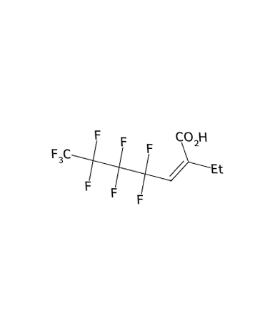 CCC(=CC(F)(F)C(F)(F)C(F)(F)C(F)(F)F)C(=O)O